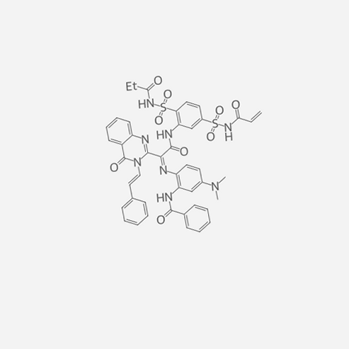 C=CC(=O)NS(=O)(=O)c1ccc(S(=O)(=O)NC(=O)CC)c(NC(=O)/C(=N\c2ccc(N(C)C)cc2NC(=O)c2ccccc2)c2nc3ccccc3c(=O)n2/C=C/c2ccccc2)c1